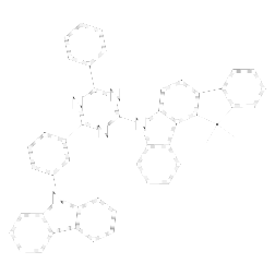 CC1(C)c2ccccc2-c2ccc3c(c21)c1ccccc1n3-c1nc(-c2ccccc2)nc(-c2cccc(-n3c4ccccc4c4ccccc43)c2)n1